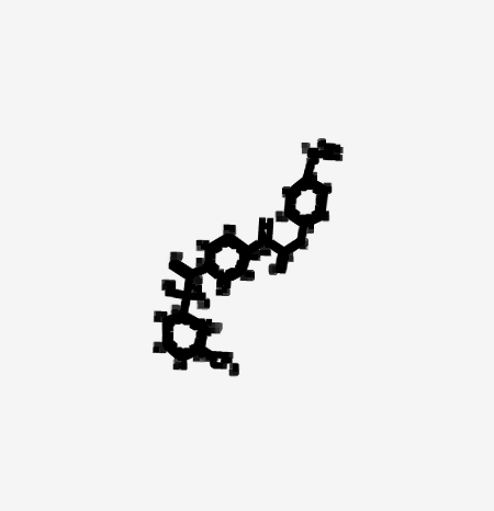 C=C(Cc1ccc(SCC)cc1)Nc1ccc(C(=C)C(C)(C)c2cccc(C(F)(F)F)n2)nc1